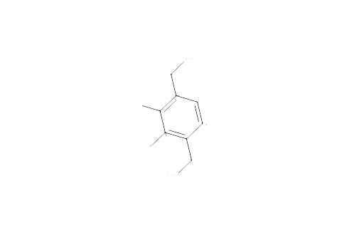 CC(C)(C)Cc1ccc(CC(C)(C)C)c(Cl)c1F